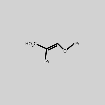 CCCOC=C(C(=O)O)C(C)C